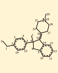 CCc1ccc(C2(C)Cc3ccccc3C2=C2CCN(C)CC2)cc1